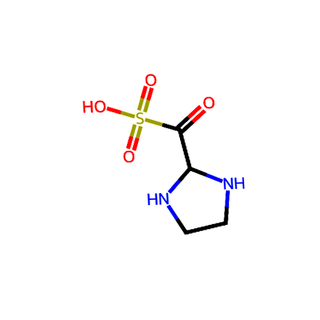 O=C(C1NCCN1)S(=O)(=O)O